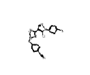 N#Cc1ccc(Cn2nnc(-c3cnn(-c4ccc(Br)cc4)c3Cl)n2)cc1